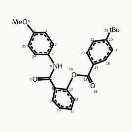 COc1ccc(NC(=O)c2ccccc2OC(=O)c2ccc(C(C)(C)C)cc2)cc1